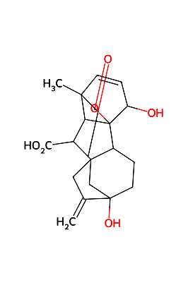 C=C1CC23CC1(O)CCC2C12OC(=O)C(C)(C=CC1O)C2C3C(=O)O